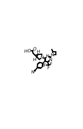 CC1CCN1c1nc(N2C[C@@H]3C(CC(=O)O)[C@@H]3C2)c(-c2ccc(C#N)cc2)c(C(F)(F)F)n1